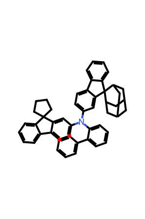 c1ccc(-c2ccccc2N(c2ccc3c(c2)C2(CCCC2)c2ccccc2-3)c2ccc3c(c2)C2(c4ccccc4-3)C3CC4CC(C3)CC2C4)cc1